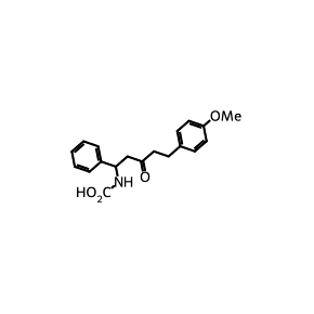 COc1ccc(CCC(=O)CC(NC(=O)O)c2ccccc2)cc1